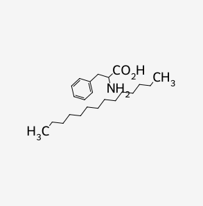 CCCCCCCCCCCCCC.NC(Cc1ccccc1)C(=O)O